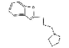 c1ccc2oc(CCCN3CCCC3)cc2c1